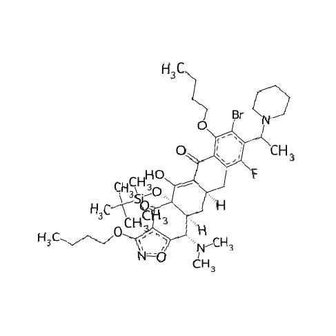 CCCCOc1noc2c1C(=O)[C@@]1(O[Si](C)(C)C(C)(C)C)C(O)=C3C(=O)c4c(c(F)c(C(C)N5CCCCC5)c(Br)c4OCCCC)C[C@H]3C[C@H]1[C@@H]2N(C)C